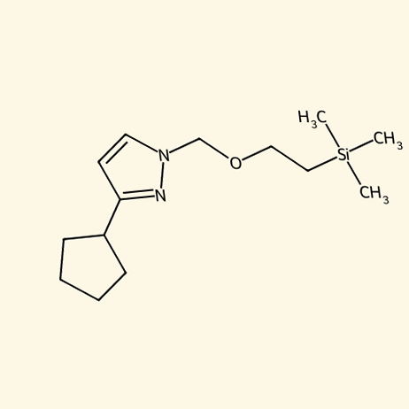 C[Si](C)(C)CCOCn1ccc(C2CCCC2)n1